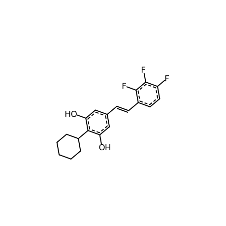 Oc1cc(C=Cc2ccc(F)c(F)c2F)cc(O)c1C1CCCCC1